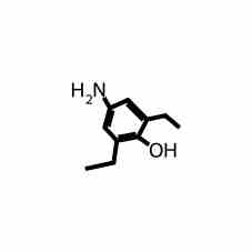 CCc1cc(N)cc(CC)c1O